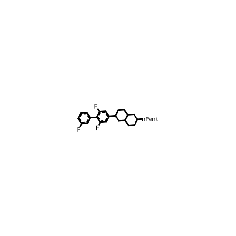 CCCCCC1CCC2CC(c3cc(F)c(-c4cccc(F)c4)c(F)c3)CCC2C1